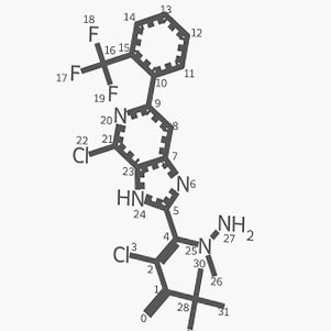 C=C(/C(Cl)=C(/c1nc2cc(-c3ccccc3C(F)(F)F)nc(Cl)c2[nH]1)N(C)N)C(C)(C)C